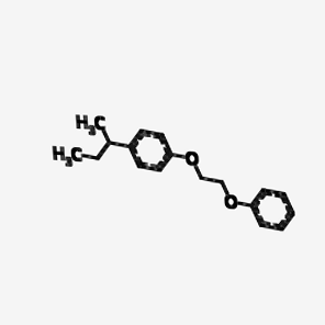 CCC(C)c1ccc(OCCOc2ccccc2)cc1